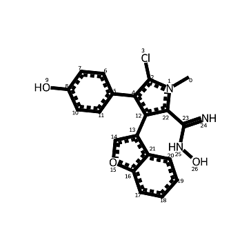 Cn1c(Cl)c(-c2ccc(O)cc2)c(-c2coc3ccccc23)c1C(=N)NO